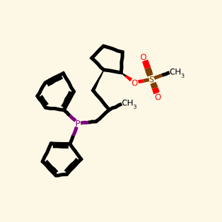 CC(C[C@H]1CCC[C@H]1OS(C)(=O)=O)CP(c1ccccc1)c1ccccc1